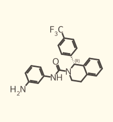 Nc1cccc(NC(=O)N2CCc3ccccc3[C@H]2c2ccc(C(F)(F)F)cc2)c1